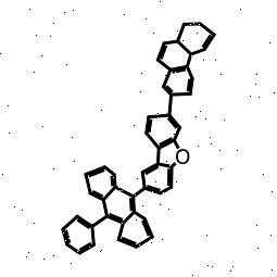 C1=CC2c3ccc(-c4ccc5c(c4)oc4ccc(-c6c7ccccc7c(-c7ccccc7)c7ccccc67)cc45)cc3C=CC2CC1